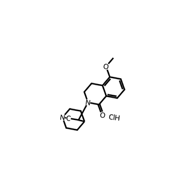 COc1cccc2c1CCN(C1CN3CCC1CC3)C2=O.Cl